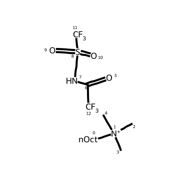 CCCCCCCC[N+](C)(C)C.O=C(NS(=O)(=O)C(F)(F)F)C(F)(F)F